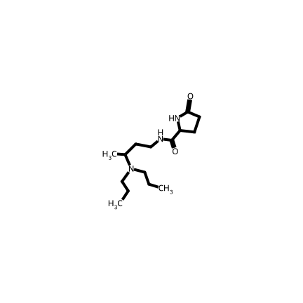 CCCN(CCC)C(C)CCNC(=O)C1CCC(=O)N1